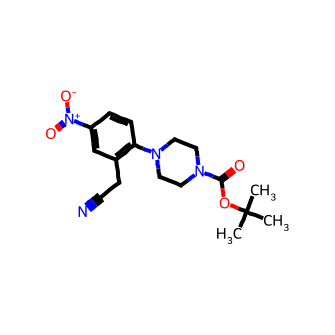 CC(C)(C)OC(=O)N1CCN(c2ccc([N+](=O)[O-])cc2CC#N)CC1